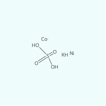 O=S(=O)(O)O.[Co].[KH].[Ni]